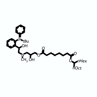 CCCCCCCCC(CCCCCC)OC(=O)CCCCCCC(=O)OCC(O)CN(C)CC(O)c1ccccc1[SiH](c1ccccc1)C(C)(C)C